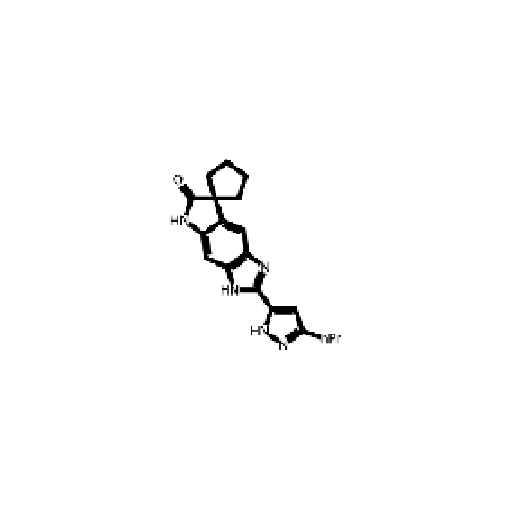 CCCc1cc(-c2nc3cc4c(cc3[nH]2)NC(=O)C42CCCC2)[nH]n1